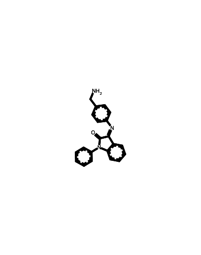 NCc1ccc(/N=C2\C(=O)N(c3ccccc3)c3ccccc32)cc1